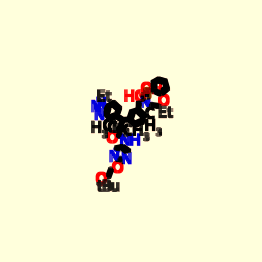 CCC1CN(Cc2cc(C(c3ccc4c(nnn4CC)c3C)C(C)(C)C(=O)Nc3cnc(OCCOC(C)(C)C)nc3)ccc2C)S(O)(O)c2ccccc2O1